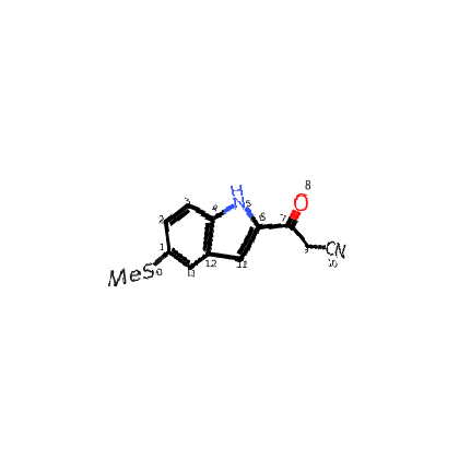 CSc1ccc2[nH]c(C(=O)CC#N)cc2c1